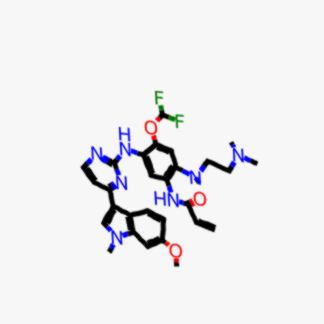 C=CC(=O)Nc1cc(Nc2nccc(-c3cn(C)c4cc(OC)ccc34)n2)c(OC(F)F)cc1N(C)CCN(C)C